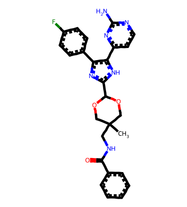 CC1(CNC(=O)c2ccccc2)COC(c2nc(-c3ccc(F)cc3)c(-c3ccnc(N)n3)[nH]2)OC1